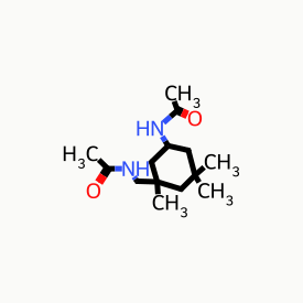 CC(=O)NCC1(C)CC(NC(C)=O)CC(C)(C)C1